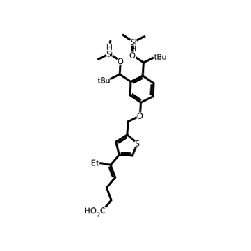 CCC(=CCCC(=O)O)c1csc(COc2ccc(C(O[SiH](C)C)C(C)(C)C)c(C(O[SiH](C)C)C(C)(C)C)c2)c1